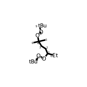 CCC(CCC(C)(C)OOC(C)(C)C)OOC(C)(C)C